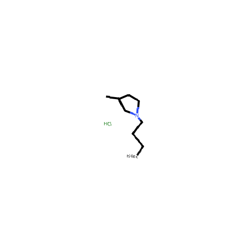 CCCCCCCCCN1CCC(C)C1.Cl